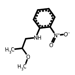 COC(C)CNc1ccccc1[N+](=O)[O-]